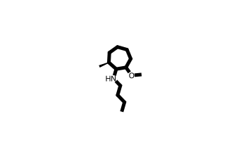 CCCCNC1C(OC)CCCC[C@@H]1C